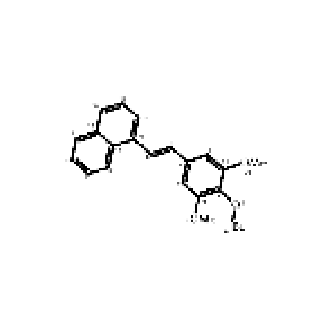 CCC(C)Oc1c(OC)cc(/C=C/c2cccc3ccccc23)cc1OC